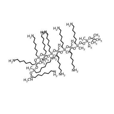 C[SiH](CCCCCCN)O[Si](C)(CCCCCCN)O[Si](C)(CCCCCCN)O[Si](C)(CCCCCCN)O[Si](C)(CCCCCCN)O[Si](C)(CCCCCCN)O[Si](C)(CCCCCCN)O[Si](C)(CCCCCCN)O[Si](C)(CCCCCCN)O[Si](C)(CCCCCCN)OO[Si](C)(C)O[Si](C)(C)C